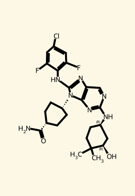 CC1(C)CC[C@@H](Nc2ncc3nc(Nc4c(F)cc(Cl)cc4F)n([C@H]4CC[C@@H](C(N)=O)CC4)c3n2)C[C@H]1O